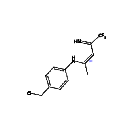 C/C(=C/C(=N)C(F)(F)F)Nc1ccc(CCl)cc1